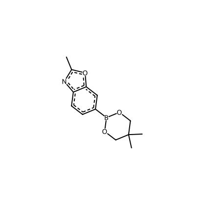 Cc1nc2ccc(B3OCC(C)(C)CO3)cc2o1